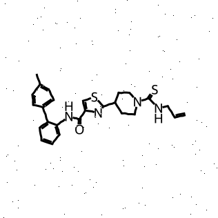 C=CCNC(=S)N1CCC(c2nc(C(=O)Nc3ccccc3-c3ccc(C)cc3)cs2)CC1